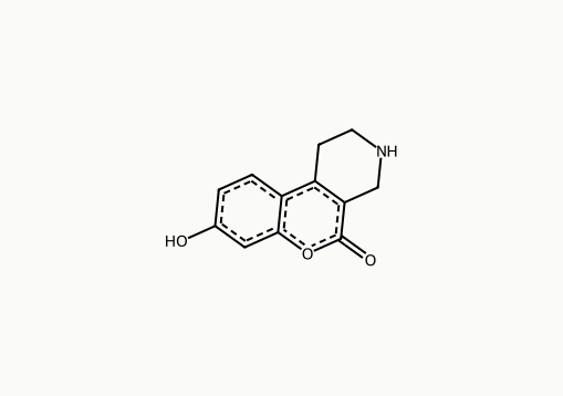 O=c1oc2cc(O)ccc2c2c1CNCC2